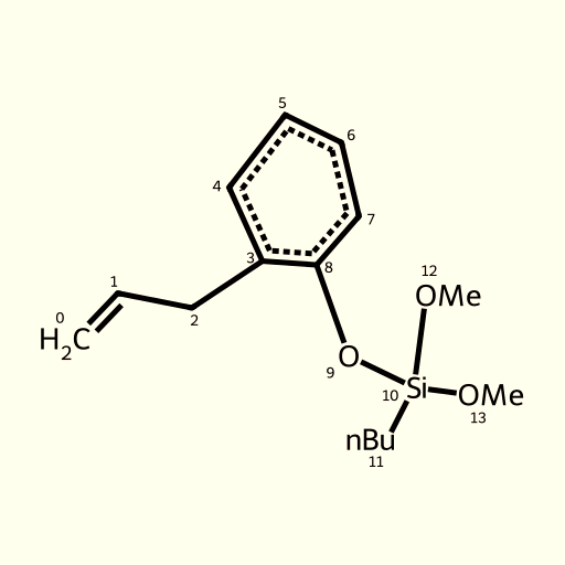 C=CCc1ccccc1O[Si](CCCC)(OC)OC